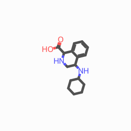 O=C(O)C1NCC(NC2CCCCC2)c2ccccc21